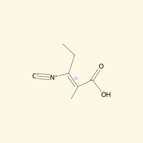 [C-]#[N+]/C(CC)=C(\C)C(=O)O